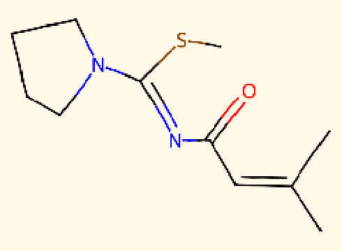 CSC(=NC(=O)C=C(C)C)N1CCCC1